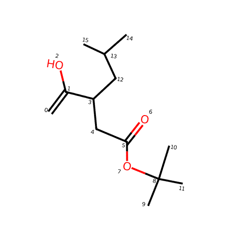 C=C(O)C(CC(=O)OC(C)(C)C)CC(C)C